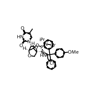 COc1ccc(C(NC[C@@]23CO[C@@H]([C@H](n4cc(C)c(=O)[nH]c4=O)O2)[C@@H]3OP(OCCC#N)N(C(C)C)C(C)C)(c2ccccc2)c2ccccc2)cc1